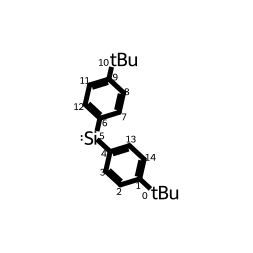 CC(C)(C)c1ccc([Si]c2ccc(C(C)(C)C)cc2)cc1